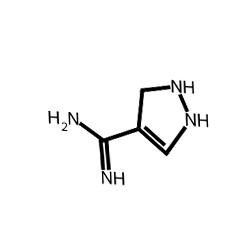 N=C(N)C1=CNNC1